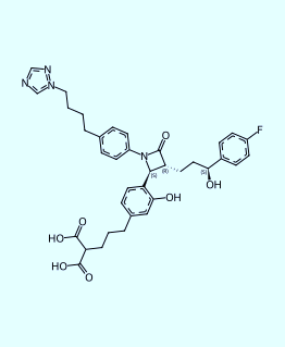 O=C(O)C(CCCc1ccc([C@@H]2[C@@H](CC[C@H](O)c3ccc(F)cc3)C(=O)N2c2ccc(CCCCn3cncn3)cc2)c(O)c1)C(=O)O